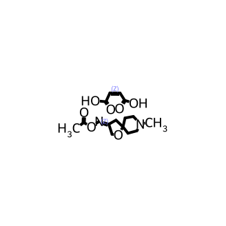 CC(=O)O/N=C1\COC2(CCN(C)CC2)C1.O=C(O)/C=C\C(=O)O